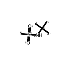 [CH2]C(C)(C)NS(C)(=O)=O